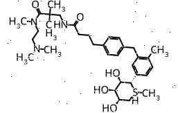 Cc1ccc([C@H]2[C@H](O)[C@H](O)[C@H](O)C[SH]2C)cc1Cc1ccc(CCCC(=O)NCC(C)(C)C(=O)N(C)CCN(C)C)cc1